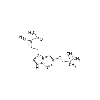 CC(=O)/C(C#N)=C\Cc1c[nH]c2ncc(OCC(C)(C)C)cc12